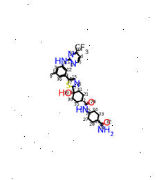 Cc1cc(Nc2nccc(C(F)(F)F)n2)cc(-c2cnc([C@]3(O)CC[C@@H](C(=O)NC4CCC(C(N)=O)CC4)CC3)s2)c1